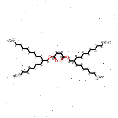 CCCCCCCCCCCCCCCCCCC(CCCCCCCCCCCCCCCC)COC(=O)/C=C\C(=O)OCC(CCCCCCCCCCCCCCCC)CCCCCCCCCCCCCCCCCC